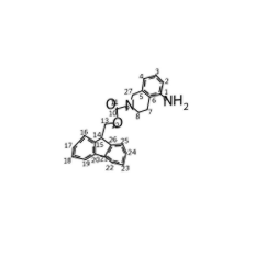 Nc1cccc2c1CCN(C(=O)OCC1c3ccccc3-c3ccccc31)C2